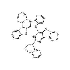 c1ccc2c(C3N=c4c(sc5ccccc45)=C(n4c5ccccc5c5c6ccccc6c6c7ccccc7sc6c54)N3)cccc2c1